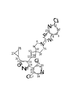 Clc1ccc2nc(N3CCC4(C=C(c5c(-c6c(Cl)cncc6Cl)noc5C5CC5)C4)CC3)sc2n1